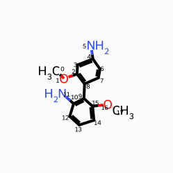 COc1cc(N)ccc1-c1c(N)cccc1OC